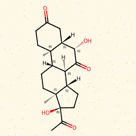 CC(=O)[C@@]1(O)CC[C@H]2[C@@H]3C(=O)[C@@H](O)[C@H]4CC(=O)CC[C@]4(C)[C@H]3CC[C@@]21C